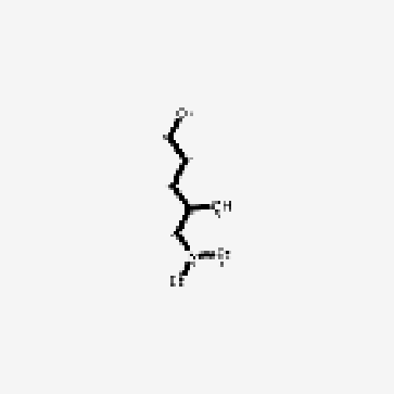 CCN(CC)CC(O)CCC[O]